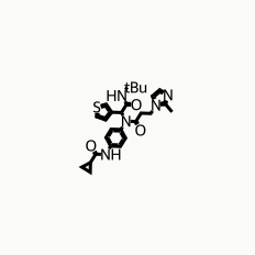 Cc1nccn1CCC(=O)N(c1ccc(NC(=O)C2CC2)cc1)C(C(=O)NC(C)(C)C)c1ccsc1